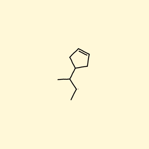 C[CH]C(C)C1CC=CC1